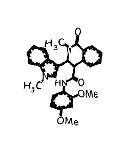 COc1ccc(NC(=O)C2c3ccccc3C(=O)N(C)C2c2cn(C)c3ccccc23)c(OC)c1